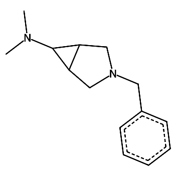 CN(C)C1C2CN(Cc3ccccc3)CC21